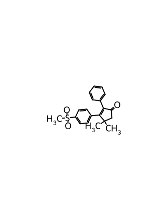 CC1(C)CC(=O)C(c2ccccc2)=C1c1ccc(S(C)(=O)=O)cc1